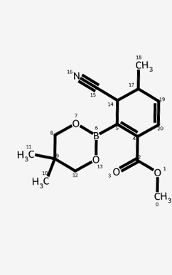 COC(=O)C1=C(B2OCC(C)(C)CO2)C(C#N)C(C)C=C1